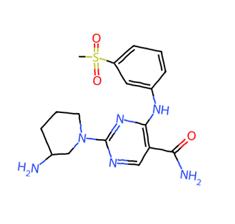 CS(=O)(=O)c1cccc(Nc2nc(N3CCCC(N)C3)ncc2C(N)=O)c1